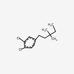 CCC(C)(C)CCc1ccc(Cl)c(Cl)c1